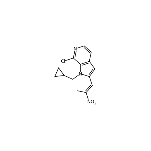 CC(=Cc1cc2ccnc(Cl)c2n1CC1CC1)[N+](=O)[O-]